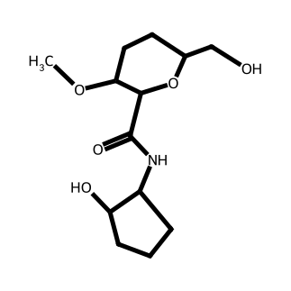 COC1CCC(CO)OC1C(=O)NC1CCCC1O